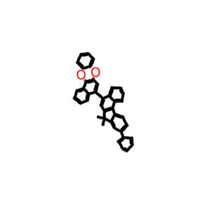 CC1(C)c2cc(-c3ccccc3)ccc2-c2c1cc(-c1cc3c(c4ccccc14)Oc1ccccc1O3)c1ccccc21